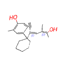 C#C/C(=C\C(C)=C(/C)O)C1(c2ccc(O)c(C)c2)CCCCC1